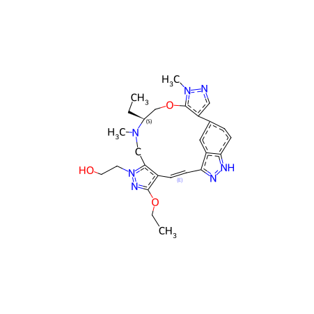 CCOc1nn(CCO)c2c1/C=C/c1n[nH]c3ccc(cc13)-c1cnn(C)c1OC[C@H](CC)N(C)C2